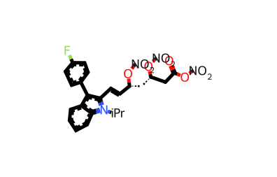 CC(C)n1c(C=C[C@@H](C[C@@H](CC(=O)O[N+](=O)[O-])O[N+](=O)[O-])O[N+](=O)[O-])c(-c2ccc(F)cc2)c2ccccc21